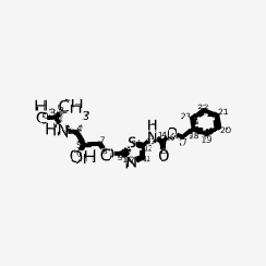 CC(C)NCC(O)COc1ncc(NC(=O)OCc2ccccc2)s1